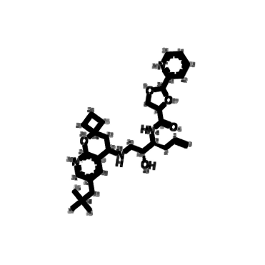 C=CC[C@H](NC(=O)C1COC(c2ccccn2)O1)[C@H](O)CNC1CC2(CCC2)Oc2ncc(CC(C)(C)C)cc21